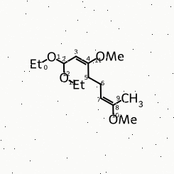 CCOC(C=C(CCC=C(C)OC)OC)OCC